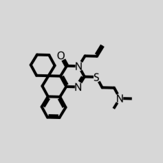 C=CCn1c(SCCN(C)C)nc2c(c1=O)C1(CCCCC1)Cc1ccccc1-2